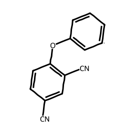 N#Cc1ccc(Oc2c[c]ccc2)c(C#N)c1